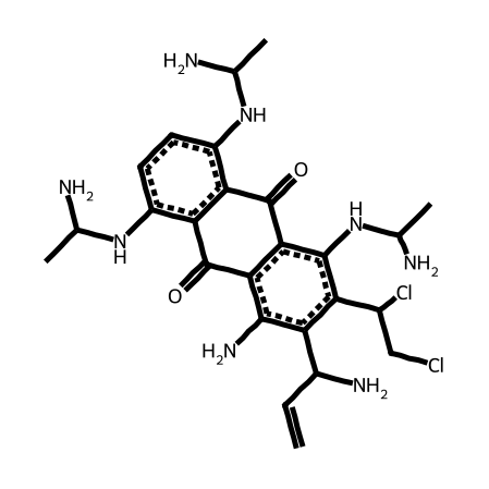 C=CC(N)c1c(N)c2c(c(NC(C)N)c1C(Cl)CCl)C(=O)c1c(NC(C)N)ccc(NC(C)N)c1C2=O